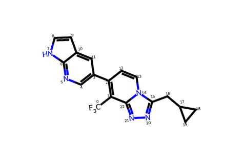 FC(F)(F)c1c(-c2cnc3[nH]ccc3c2)ccn2c(CC3CC3)nnc12